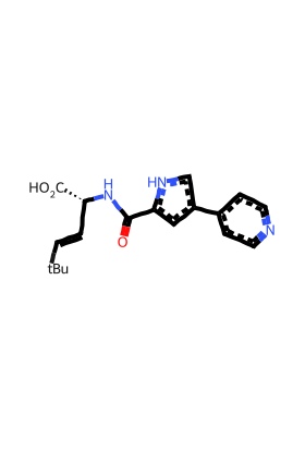 CC(C)(C)/C=C/[C@@H](NC(=O)c1cc(-c2ccncc2)c[nH]1)C(=O)O